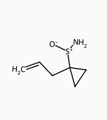 C=CCC1([S+](N)[O-])CC1